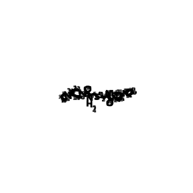 N[C@@H](CSSC[C@H](N)C(=O)N1CCC(N2CCCC2)CC1)C(=O)N1CCC(N2CCCC2)CC1